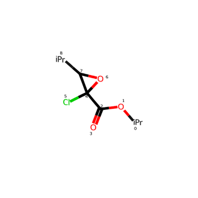 CC(C)OC(=O)C1(Cl)OC1C(C)C